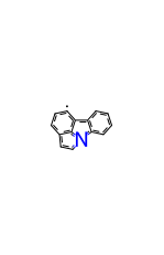 [c]1ccc2ccn3c4ccccc4c1c23